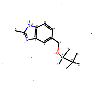 Cc1nc2cc(CO[Si](C)(C)C(C)(C)C)ccc2[nH]1